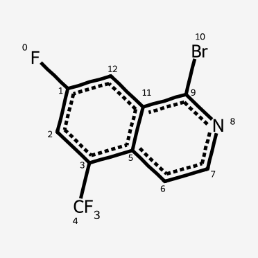 Fc1cc(C(F)(F)F)c2ccnc(Br)c2c1